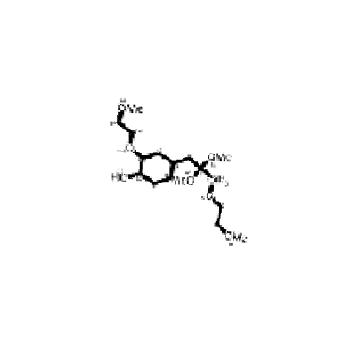 COCCO[SiH2]C(CC1CCC(O)C(OCCOC)C1)(OC)OC